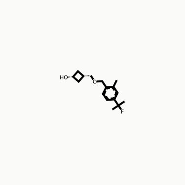 Cc1cc(C(C)(C)F)ccc1COC[C@H]1C[C@@H](O)C1